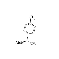 CN[C@@H](c1ccc(C(F)(F)F)cc1)C(F)(F)F